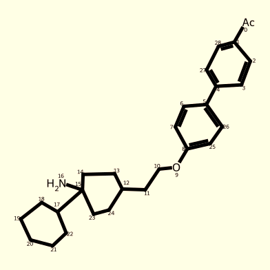 CC(=O)c1ccc(-c2ccc(OCCC3CCC(N)(C4CCCCC4)CC3)cc2)cc1